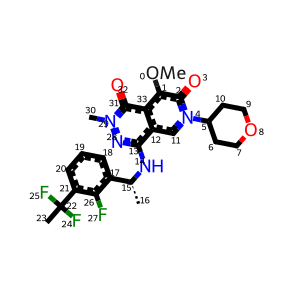 COc1c(=O)n(C2CCOCC2)cc2c(N[C@H](C)c3cccc(C(C)(F)F)c3F)nn(C)c(=O)c12